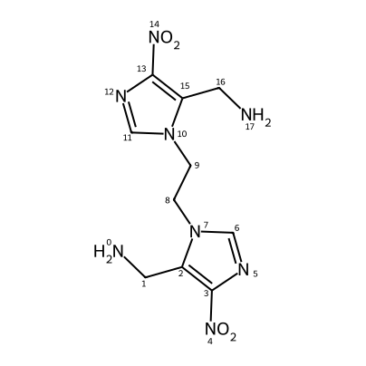 NCc1c([N+](=O)[O-])ncn1CCn1cnc([N+](=O)[O-])c1CN